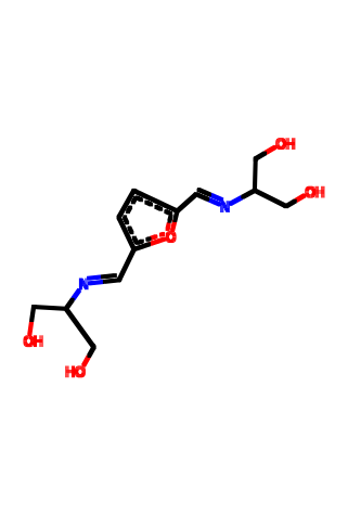 OCC(CO)N=Cc1ccc(C=NC(CO)CO)o1